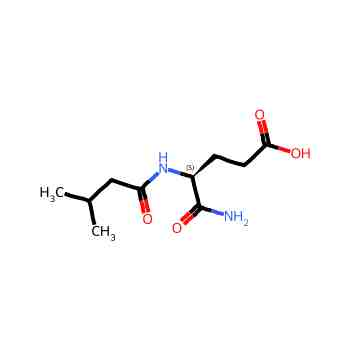 CC(C)CC(=O)N[C@@H](CCC(=O)O)C(N)=O